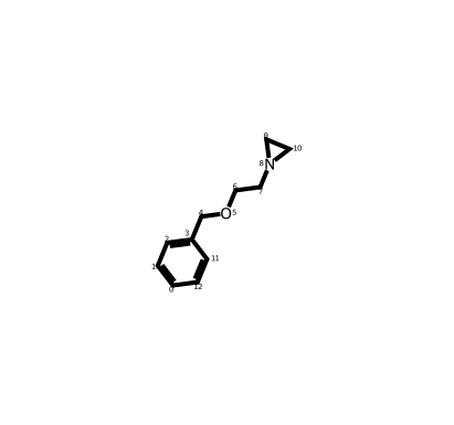 c1ccc(COCCN2CC2)cc1